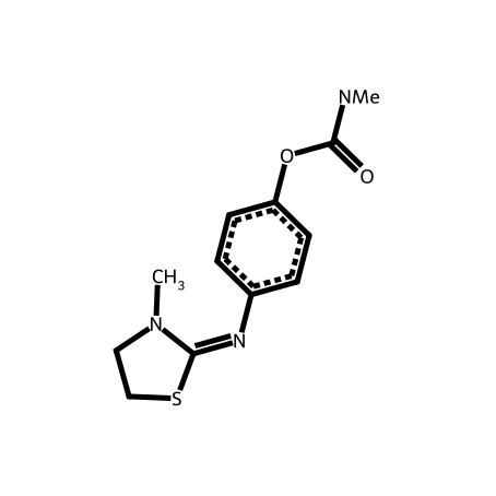 CNC(=O)Oc1ccc(N=C2SCCN2C)cc1